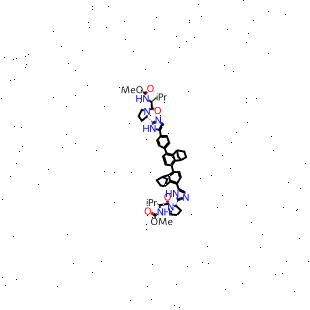 COC(=O)N[C@H](C(=O)N1CCC[C@H]1c1ncc(-c2ccc(-c3ccc(-c4ccc(-c5cnc([C@@H]6CCCN6C(=O)[C@H](NC(=O)OC)C(C)C)[nH]5)c5c4C4CCC5C4)c4c3C3CCC4C3)cc2)[nH]1)C(C)C